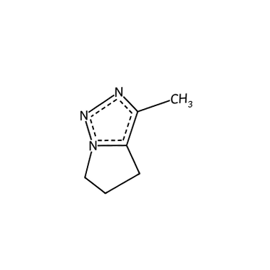 Cc1nnn2c1CCC2